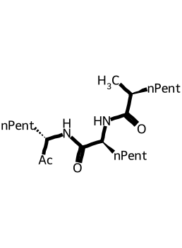 CCCCC[C@H](NC(=O)[C@H](CCCCC)NC(=O)[C@@H](C)CCCCC)C(C)=O